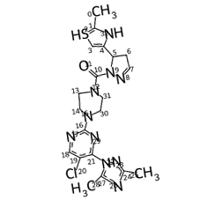 CC1=[SH]C=C(C2CC=NN2C(=O)N2CCN(c3ncc(Cl)c(-n4nc(C)nc4C)n3)CC2)N1